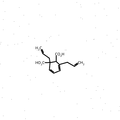 C=CCC1=CC=CC(CC=C)(C(=O)O)C1C(=O)O